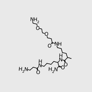 CC(CCCCNC(=O)CCOCCOCCN)C(=O)NC(CCCCNC(=O)CCN)C(N)=O